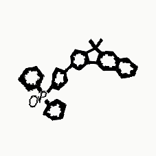 CC1(C)c2ccc(-c3ccc(P(=O)(c4ccccc4)c4ccccc4)cc3)cc2-c2cc3ccccc3cc21